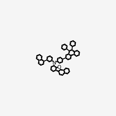 c1ccc(-c2c(-c3ccccc3)c3cc(-c4ccc(N(c5cccc(-c6cccc7ccccc67)c5)c5cccc6c5oc5c7ccccc7ccc65)cc4)ccc3c3ccccc23)cc1